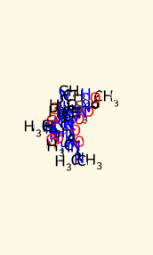 CN(C)CCCNC(=O)c1cc(NC(=O)c2cc([N+](=O)[O-])cn2C)cn1C.COc1cccc(C(=O)Nc2nc(C(=O)Nc3cc(C(=O)Nc4cc(C(=O)NCCCN(C)C)n(C)c4)n(C)c3)c(C(C)C)s2)c1